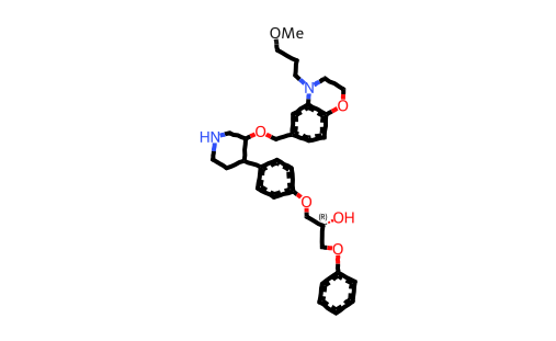 COCCCN1CCOc2ccc(COC3CNCCC3c3ccc(OC[C@H](O)COc4ccccc4)cc3)cc21